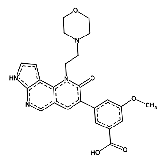 COc1cc(C(=O)O)cc(-c2cc3cnc4[nH]ccc4c3n(CCN3CCOCC3)c2=O)c1